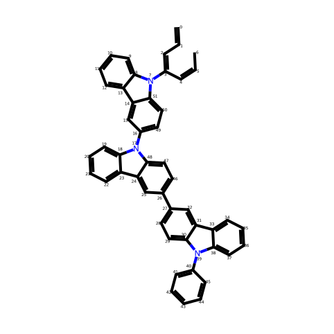 C=C/C=C(\C=C/C)n1c2ccccc2c2cc(-n3c4ccccc4c4cc(-c5ccc6c(c5)c5ccccc5n6-c5ccccc5)ccc43)ccc21